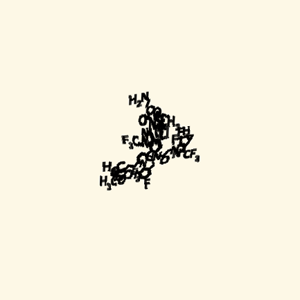 CC(C)(CCc1ccc(-c2ccc(Cl)c3c(N(C(=O)OCCN)S(C)(=O)=O)nn(CC(F)(F)F)c23)c([C@H](Cc2cc(F)cc(F)c2)NC(=O)Cn2nc(C(F)(F)F)c3c2C(F)(F)[C@@H]2CC32)n1)S(C)(=O)=O